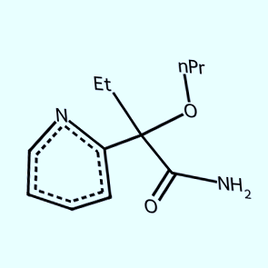 CCCOC(CC)(C(N)=O)c1ccccn1